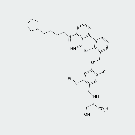 CCOc1cc(OCc2cccc(-c3cccc(NCCCCN4CCCC4)c3C=N)c2Br)c(Cl)cc1CNC(CO)C(=O)O